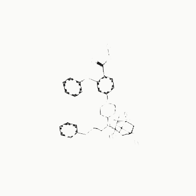 COC(=O)c1ccc(N2CCC(N(CCCc3ccccc3)[C@H]3C[C@@H]4C[C@@H]([C@H]3C)C4(C)C)CC2)cc1Oc1ccccc1